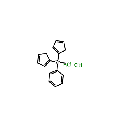 Cl.Cl.[CH3][Zr]([C]1=CC=CC1)([C]1=CC=CC1)[c]1ccccc1